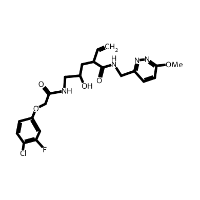 C=CC(CC(O)CNC(=O)COc1ccc(Cl)c(F)c1)C(=O)NCc1ccc(OC)nn1